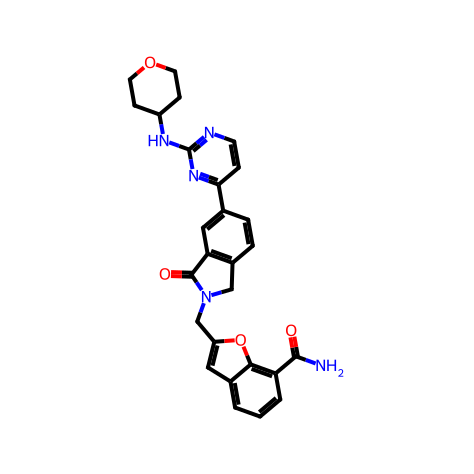 NC(=O)c1cccc2cc(CN3Cc4ccc(-c5ccnc(NC6CCOCC6)n5)cc4C3=O)oc12